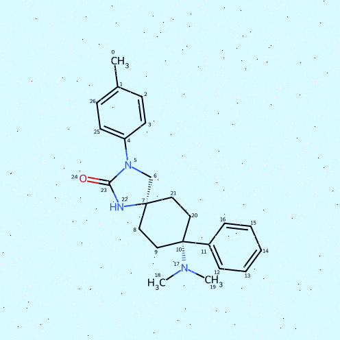 Cc1ccc(N2C[C@]3(CC[C@@](c4ccccc4)(N(C)C)CC3)NC2=O)cc1